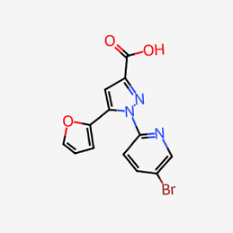 O=C(O)c1cc(-c2ccco2)n(-c2ccc(Br)cn2)n1